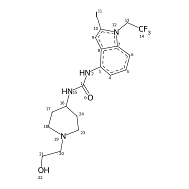 O=C(Nc1cccc2c1cc(I)n2CC(F)(F)F)NC1CCN(CCO)CC1